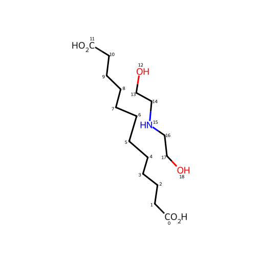 O=C(O)CCCCCCCCCCC(=O)O.OCCNCCO